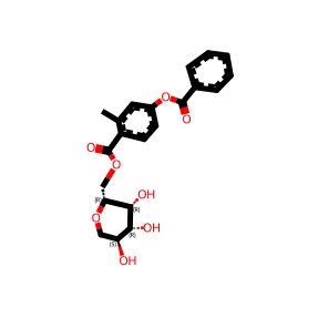 Cc1cc(OC(=O)c2ccccc2)ccc1C(=O)OC[C@H]1OC[C@H](O)[C@@H](O)[C@H]1O